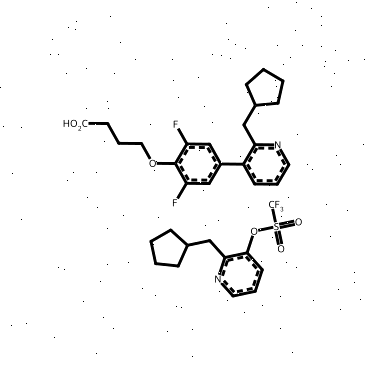 O=C(O)CCCOc1c(F)cc(-c2cccnc2CC2CCCC2)cc1F.O=S(=O)(Oc1cccnc1CC1CCCC1)C(F)(F)F